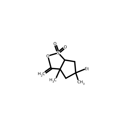 C=C1OS(=O)(=O)C2CC(C)(CC)CC12C